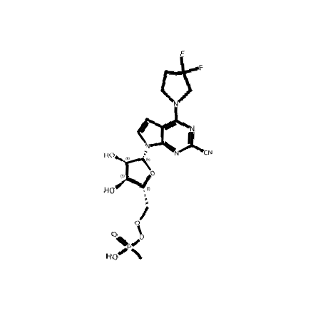 CP(=O)(O)OOC[C@H]1O[C@@H](n2ccc3c(N4CCC(F)(F)C4)nc(C#N)nc32)[C@H](O)[C@@H]1O